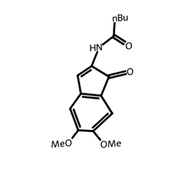 CCCCC(=O)NC1=Cc2cc(OC)c(OC)cc2C1=O